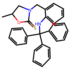 CC1CN(Cc2ccccc2NC(c2ccccc2)(c2ccccc2)c2ccccc2)C(=S)O1